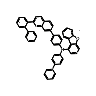 c1ccc(-c2ccc(N(c3ccc(-c4ccc5ccc(-c6ccccc6-c6ccccc6)cc5c4)cc3)c3cccc4oc5ccccc5c34)cc2)cc1